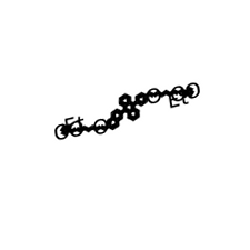 CCC1(COCCCCCOCc2ccc(-c3c4ccccc4c(-c4ccc5cc(COCCCCCOCC6(CC)COC6)ccc5c4)c4ccccc34)cc2)COC1